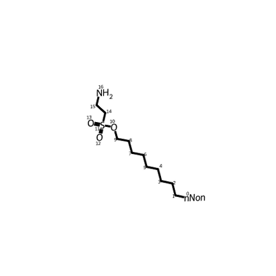 CCCCCCCCCCCCCCCCCCOS(=O)(=O)CCN